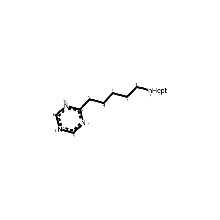 CCCCCCCCCCCCc1ncncn1